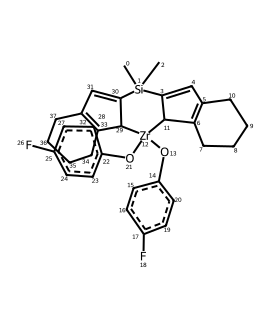 C[Si]1(C)C2=CC3=C(CCCC3)[CH]2[Zr]([O]c2ccc(F)cc2)([O]c2ccc(F)cc2)[CH]2C1=CC1=C2CCCC1